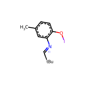 Cc1ccc(OI)c(/N=C/C(C)(C)C)c1